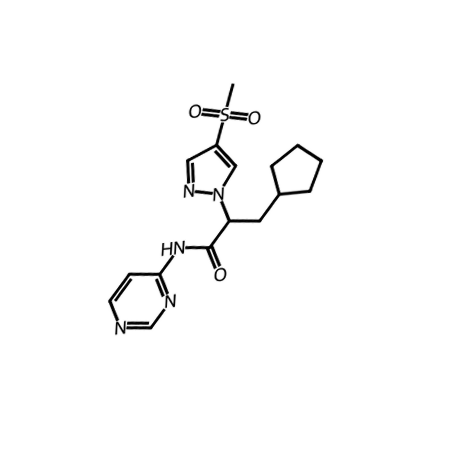 CS(=O)(=O)c1cnn(C(CC2CCCC2)C(=O)Nc2ccncn2)c1